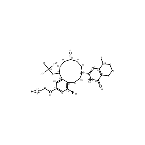 CN1CCCc2c1nc(N1CCC(=O)CCC(CC(C)(F)F)c3cc(OCC(=O)O)cc(F)c3CC1)[nH]c2=O